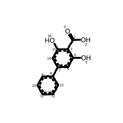 O=C(O)c1c(O)cc(-c2ccccc2)cc1O